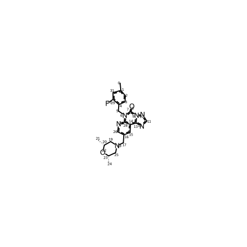 Cc1ccc(Cn2c(=O)n3ncnc3c3cc(CN4C[C@@H](C)O[C@@H](C)C4)cnc32)c(F)c1